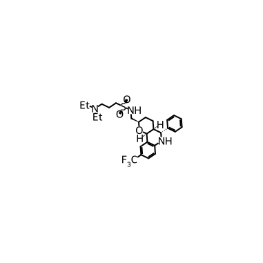 CCN(CC)CCCS(=O)(=O)NC[C@H]1CC[C@@H]2[C@H](O1)c1cc(C(F)(F)F)ccc1N[C@H]2c1ccccc1